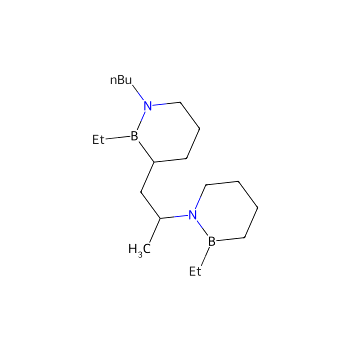 CCCCN1CCCC(CC(C)N2CCCCB2CC)B1CC